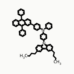 CCCCc1ccc2c(c1)c1cc(CCCC)ccc1n2-c1ccc(N(c2ccccc2)c2ccc(-c3ccc4c(-c5ccccc5)c5ccccc5c(-c5ccccc5)c4c3)cc2)cc1